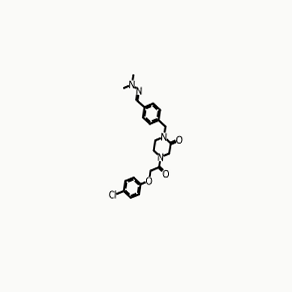 CN(C)/N=C/c1ccc(CN2CCN(C(=O)COc3ccc(Cl)cc3)CC2=O)cc1